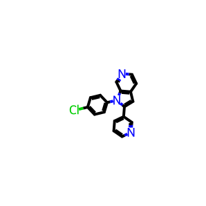 Clc1ccc(-n2c(-c3cccnc3)cc3ccncc32)cc1